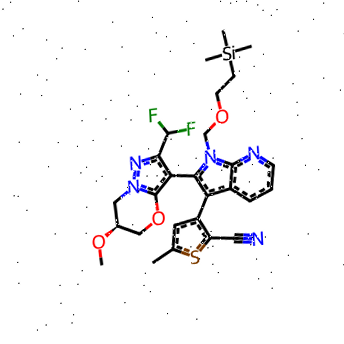 CO[C@@H]1COc2c(-c3c(-c4cc(C)sc4C#N)c4cccnc4n3COCC[Si](C)(C)C)c(C(F)F)nn2C1